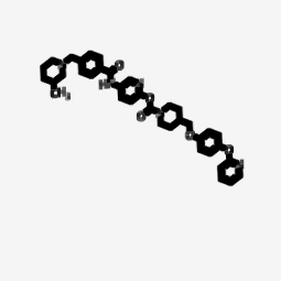 CC1CCCN(Cc2ccc(C(=O)Nc3ccc(OC(=O)N4CCC(COc5ccc(Oc6ccccn6)cc5)CC4)nc3)cc2)C1